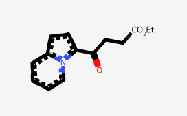 CCOC(=O)CCC(=O)c1ccc2ccccn12